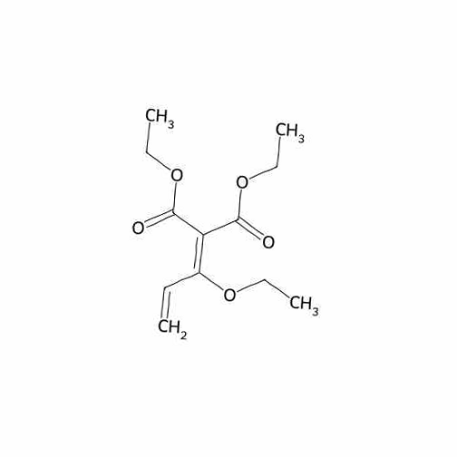 C=CC(OCC)=C(C(=O)OCC)C(=O)OCC